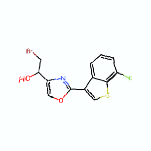 OC(CBr)c1coc(-c2csc3c(F)cccc23)n1